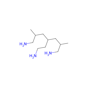 CC(CN)CC(CCN)CC(C)CN